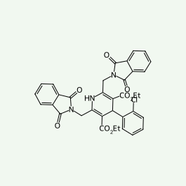 CCOC(=O)C1=C(CN2C(=O)c3ccccc3C2=O)NC(CN2C(=O)c3ccccc3C2=O)=C(C(=O)OCC)C1c1ccccc1Cl